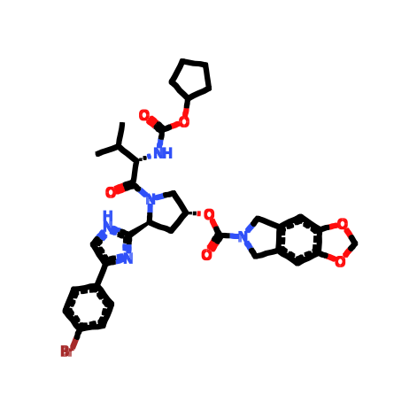 CC(C)[C@H](NC(=O)OC1CCCC1)C(=O)N1C[C@H](OC(=O)N2Cc3cc4c(cc3C2)OCO4)C[C@H]1c1nc(-c2ccc(Br)cc2)c[nH]1